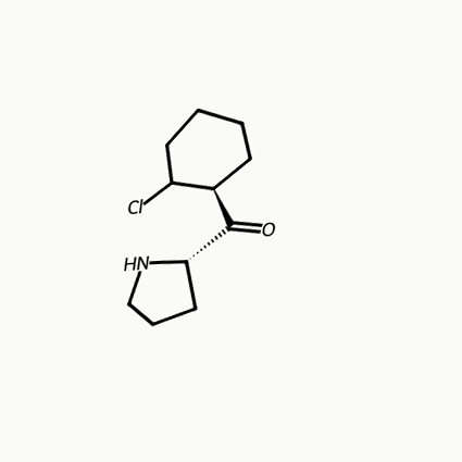 O=C([C@@H]1CCCN1)[C@@H]1CCCCC1Cl